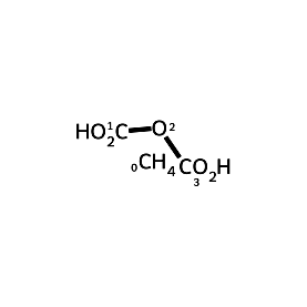 C.O=C(O)OC(=O)O